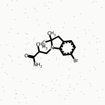 CC(CN1c2cc(Br)ccc2CC1(C)C)C(N)=O